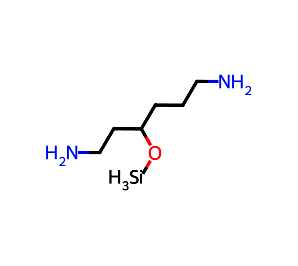 NCCCC(CCN)O[SiH3]